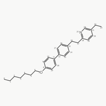 CCCCCCCOc1ccc(-c2ccc(CCc3ccc(CC)cn3)cc2)cc1